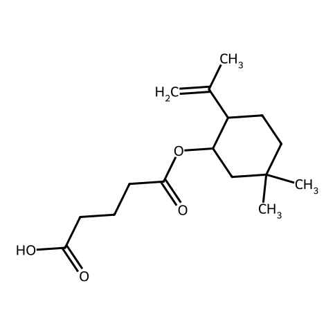 C=C(C)C1CCC(C)(C)CC1OC(=O)CCCC(=O)O